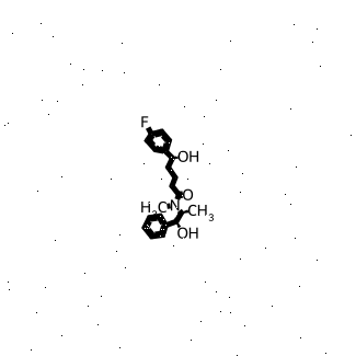 C[C@@H]([C@@H](O)c1ccccc1)N(C)C(=O)CCC[C@H](O)c1ccc(F)cc1